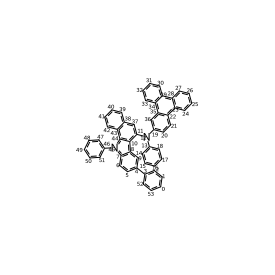 c1ccc(-c2ccc3c(c2)c2c(N(c4ccccc4)c4ccc5c6ccccc6c6ccccc6c5c4)cc4ccccc4c2n3-c2ccccc2)cc1